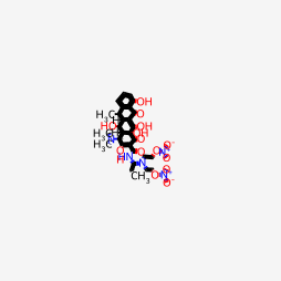 CCC(NC(=O)C1=C(O)[C@@H](N(C)C)[C@@H]2[C@@H](O)[C@H]3C(=C(O)[C@]2(O)C1=O)C(=O)c1c(O)cccc1[C@@H]3C)N(CCO[N+](=O)[O-])CCO[N+](=O)[O-]